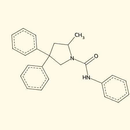 CC1CC(c2ccccc2)(c2ccccc2)CN1C(=O)Nc1ccccc1